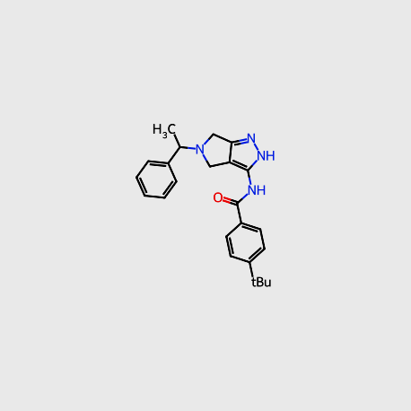 CC(c1ccccc1)N1Cc2n[nH]c(NC(=O)c3ccc(C(C)(C)C)cc3)c2C1